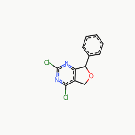 Clc1nc(Cl)c2c(n1)C(c1ccccc1)OC2